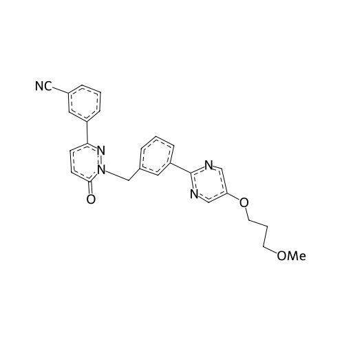 COCCCOc1cnc(-c2cccc(Cn3nc(-c4cccc(C#N)c4)ccc3=O)c2)nc1